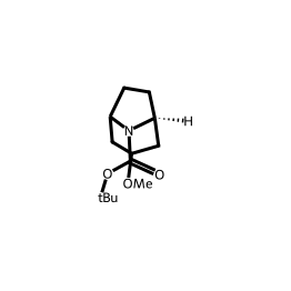 COC1CC2CC[C@@H](C1)N2C(=O)OC(C)(C)C